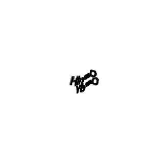 [O]=[InH].[O]=[Yb]